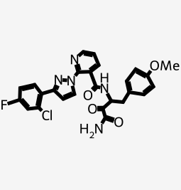 COc1ccc(CC(NC(=O)c2cccnc2-n2ccc(-c3ccc(F)cc3Cl)n2)C(=O)C(N)=O)cc1